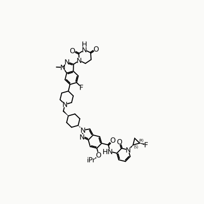 CC(C)Oc1cc2nn([C@H]3CC[C@H](CN4CCC(c5cc6c(cc5F)c(N5CCC(=O)NC5=O)nn6C)CC4)CC3)cc2cc1C(=O)Nc1cccn([C@H]2C[C@H]2F)c1=O